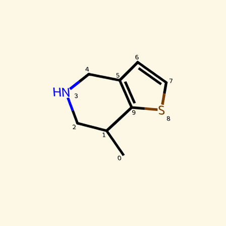 CC1CNCc2ccsc21